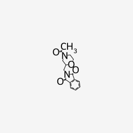 CC(=O)N1CCOC(CN2C(=O)c3ccccc3C2=O)C1